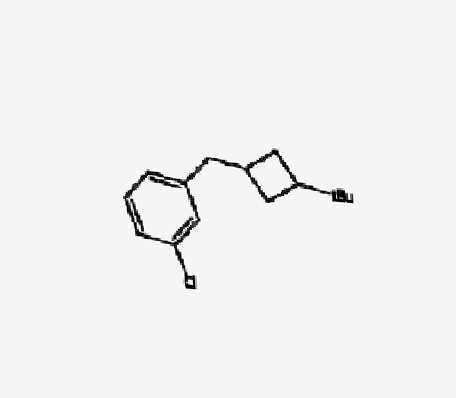 CC(C)(C)C1CC(Cc2cccc(Cl)c2)C1